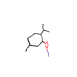 CC1CCC(C(C)C)C(OI)C1